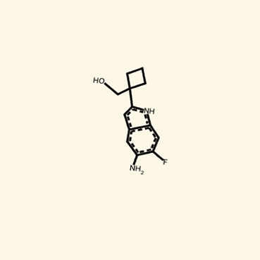 Nc1cc2cc(C3(CO)CCC3)[nH]c2cc1F